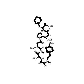 CC[C@H](C)C([C@@H](CC(=O)N1CCC[C@H]1[C@H](OC)[C@@H](C)C(=O)N[C@@H](Cc1ccccc1)C(=O)OC)OC)N(C)C(=O)[C@@H](NC(=O)C(C(C)C)N(C)CCc1ccc(NC)cc1)C(C)C